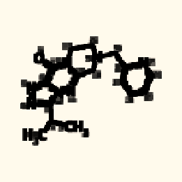 CC(C)c1nnc2c(=O)n3c(nn12)CN(Cc1ccccn1)CC3